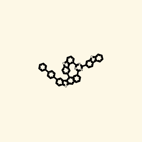 c1ccc(-c2ccc(-c3ccc4oc5cccc(-c6ccc7oc8cccc(-c9nc(-c%10ccccc%10)nc(-c%10ccc%11c(c%10)oc%10ccccc%10%11)n9)c8c7c6)c5c4c3)cc2)cc1